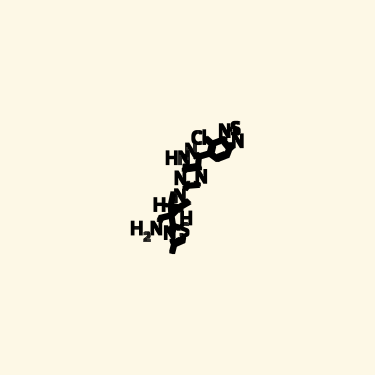 Cc1csc(C2(CN)[C@@H]3CN(c4cnc5c(-c6ccc7nsnc7c6Cl)n[nH]c5n4)C[C@@H]32)n1